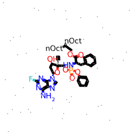 C#C[C@]1(CO[P@@](=O)(NC(Cc2ccccc2)C(=O)OCC(CCCCCCCC)CCCCCCCC)Oc2ccccc2)O[C@@H](n2cnc3c(N)nc(F)nc32)C[C@@H]1O